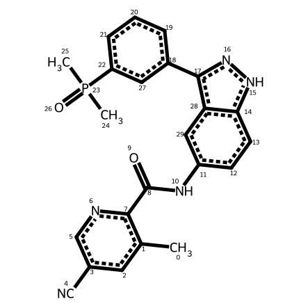 Cc1cc(C#N)cnc1C(=O)Nc1ccc2[nH]nc(-c3cccc(P(C)(C)=O)c3)c2c1